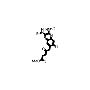 CCNc1nc2cc(Cl)c(CC(=O)CCC(=O)OC)cc2nc1NCC